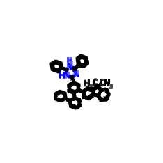 CC1(C)C2=CC(C3CC(C4N=C(c5ccccc5)NC(c5ccccc5)N4)=CC=C3C3CCC=CC3C3C=CC=CC3)CC=C2C2C=CCCC21